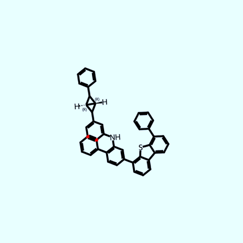 c1ccc(-c2ccc(-c3cccc4c3sc3c(-c5ccccc5)cccc34)cc2Nc2cccc(C3[C@H]4C(c5ccccc5)[C@H]34)c2)cc1